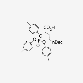 CCCCCCCCCCCCCC(=O)O.Cc1ccc(OP(=O)(Oc2ccc(C)cc2)Oc2ccc(C)cc2)cc1